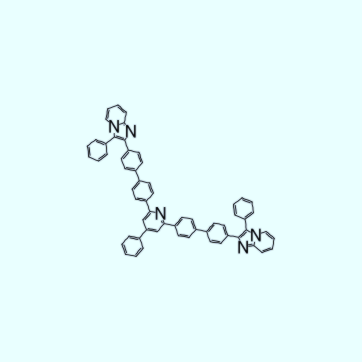 c1ccc(-c2cc(-c3ccc(-c4ccc(-c5nc6ccccn6c5-c5ccccc5)cc4)cc3)nc(-c3ccc(-c4ccc(-c5nc6ccccn6c5-c5ccccc5)cc4)cc3)c2)cc1